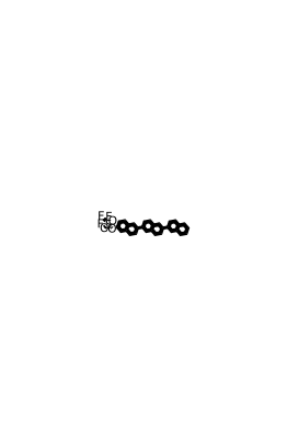 O=S(=O)(Oc1ccc2cc(-c3ccc4cc(-c5ccc6ccccc6c5)ccc4c3)ccc2c1)C(F)(F)F